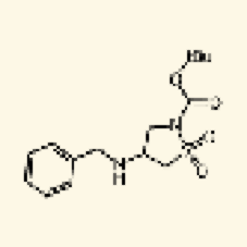 CC(C)(C)OC(=O)N1CC(NCc2ccccc2)CS1(=O)=O